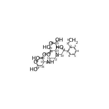 C=Cc1ccccc1C(O)CN(CCNC(CC(=O)O)C(=O)O)C(CC(=O)O)C(=O)O